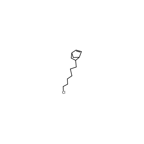 ClCCCCCCC1CC2C=CC1C2